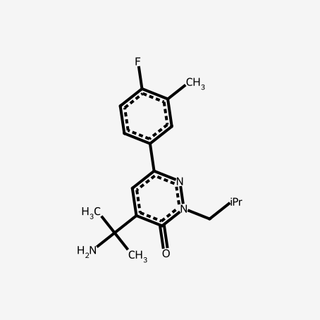 Cc1cc(-c2cc(C(C)(C)N)c(=O)n(CC(C)C)n2)ccc1F